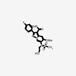 CNC(=O)c1c(-c2ccc(F)cc2)nn2cc(N(CCO)S(C)(=O)=O)c(OC)cc12